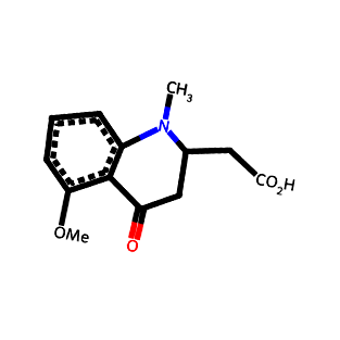 COc1cccc2c1C(=O)CC(CC(=O)O)N2C